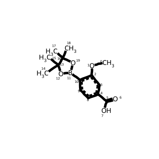 COc1cc(C(=O)O)ccc1B1OC(C)(C)C(C)(C)O1